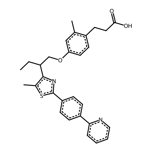 CCC(COc1ccc(CCC(=O)O)c(C)c1)c1nc(-c2ccc(-c3ccccn3)cc2)sc1C